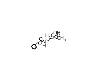 CCC(C)(CCCCNC(=O)OCc1ccccc1)C(=O)O